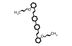 CC=CCOc1ccccc1C=Cc1ccc(-c2ccc(C=Cc3ccccc3OCC=CC)cc2)cc1